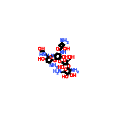 NC[C@@H]1O[C@H](O[C@H]2[C@@H](O)[C@H](O[C@@H]3[C@@H](O)[C@H](NC(=O)[C@]4(O)C[C@H](N)C4)C[C@H](N)[C@H]3O[C@H]3O[C@H](CNCCO)[C@@H](O)C[C@H]3N)O[C@@H]2CO)[C@H](N)[C@@H](O)[C@@H]1O